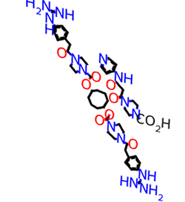 N=C(N)Nc1ccc(CC(=O)N2CCN(C(=O)O[C@H]3CCC[C@@H](OC(=O)N4CCN(C(=O)Cc5ccc(NC(=N)N)cc5)CC4)CCC3)CC2)cc1.O=C(CC(=O)N1CCN(C(=O)O)CC1)Nc1ccncc1